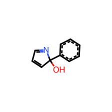 OC1(c2ccccc2)C=CC=N1